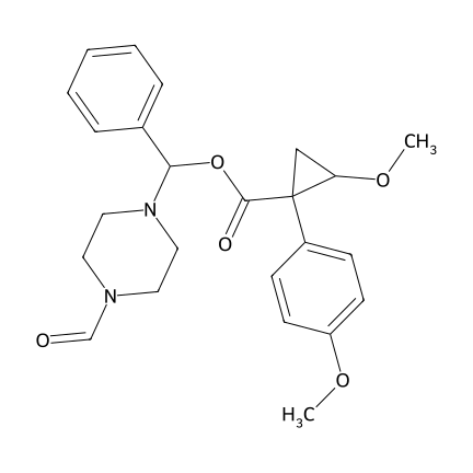 COc1ccc(C2(C(=O)OC(c3ccccc3)N3CCN(C=O)CC3)CC2OC)cc1